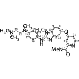 CNC(=O)c1cc(Oc2ccc3c(c2)nc(Nc2ccc(N(C)CCN(C)C)cc2)n3C)ccn1